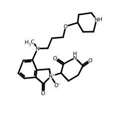 CN(CCCOC1CCNCC1)c1cccc2c1C[N+]([O-])(C1CCC(=O)NC1=O)C2=O